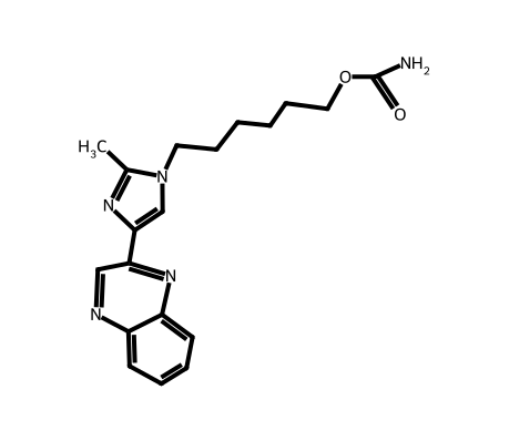 Cc1nc(-c2cnc3ccccc3n2)cn1CCCCCCOC(N)=O